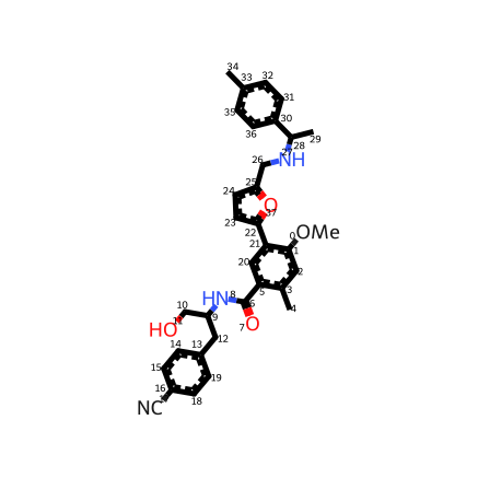 COc1cc(C)c(C(=O)NC(CO)Cc2ccc(C#N)cc2)cc1-c1ccc(CNC(C)c2ccc(C)cc2)o1